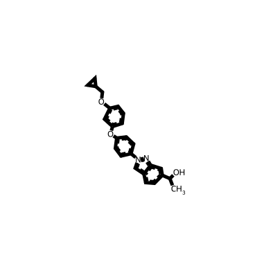 CC(O)c1ccc2cn(-c3ccc(Oc4cccc(OCC5CC5)c4)cc3)nc2c1